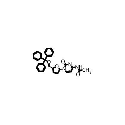 CC(=O)Nc1ccn([C@H]2CC[C@@H](COC(c3ccccc3)(c3ccccc3)c3ccccc3)O2)c(=O)n1